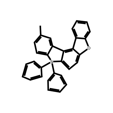 Cc1ccc2c(c1)-c1c(ccc3oc4ccccc4c13)[Si]2(c1ccccc1)c1ccccc1